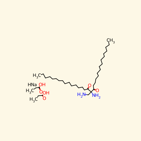 CCC(=O)O.CCC(=O)O.CCCCCCCCCCCCCCCC(=O)C(N)(CN)C(=O)CCCCCCCCCCCCCCC.[NaH]